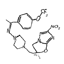 CC(=NN1CCN(C[C@@]2(C)Cn3cc([N+](=O)[O-])nc3O2)CC1)c1ccc(OC(F)(F)F)cc1